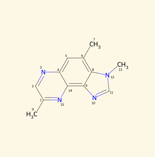 Cc1cnc2cc(C)c3c(ncn3C)c2n1